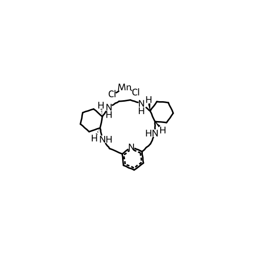 [Cl][Mn][Cl].c1cc2nc(c1)CN[C@H]1CCCC[C@H]1NCCN[C@@H]1CCCC[C@@H]1NC2